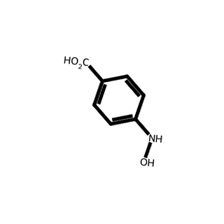 O=C(O)c1ccc(NO)cc1